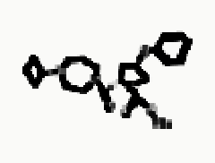 CC(C)(C)OC(=O)N1C[C@H](Oc2ccccc2)C[C@H]1C(=O)N1CCCN(C2CCC2)CC1